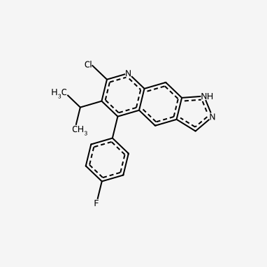 CC(C)c1c(Cl)nc2cc3[nH]ncc3cc2c1-c1ccc(F)cc1